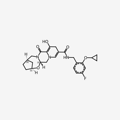 O=C(NCc1ccc(F)cc1OC1CC1)C1=CN2C[C@@H]3O[C@H]4CC[C@H](C4)CN3C(=O)C2=C(O)C1